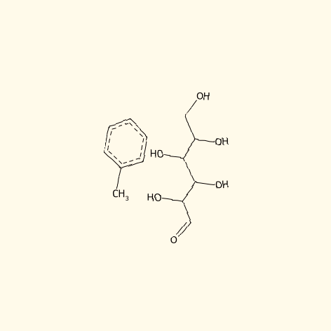 Cc1ccccc1.O=CC(O)C(O)C(O)C(O)CO